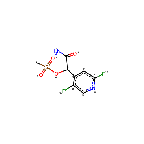 CS(=O)(=O)OC(C(N)=O)c1cc(F)ncc1F